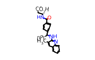 CCCC(Nc1nc2ccccc2cc1C)c1ccc(C(=O)NCCC(=O)O)cc1